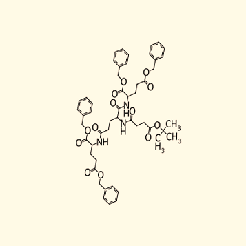 CC(C)(C)OC(=O)CCC(=O)NC(CCC(=O)NC(CCC(=O)OCc1ccccc1)C(=O)OCc1ccccc1)C(=O)NC(CCC(=O)OCc1ccccc1)C(=O)OCc1ccccc1